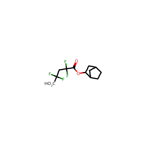 O=C(O)C(F)(F)CC(F)(F)C(=O)OC1CC2CCC1C2